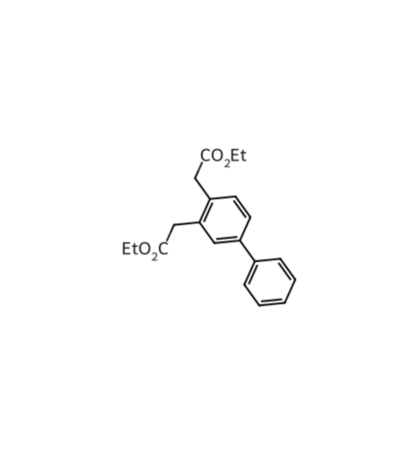 CCOC(=O)Cc1ccc(-c2ccccc2)cc1CC(=O)OCC